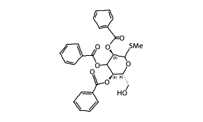 CSC1O[C@H](CO)[C@@H](OC(=O)c2ccccc2)C(OC(=O)c2ccccc2)[C@H]1OC(=O)c1ccccc1